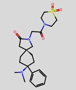 CN(C)[C@]1(c2ccccc2)CC[C@@]2(CC1)CC(=O)N(CC(=O)N1CCS(=O)(=O)CC1)C2